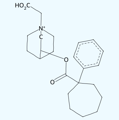 O=C(O)C[N+]12CCC(CC1)C(OC(=O)C1(c3ccccc3)CCCCCC1)C2